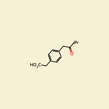 CC(C)C(=O)Cc1ccc(CC(=O)O)cc1